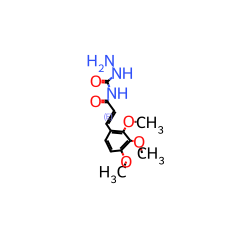 COc1ccc(/C=C/C(=O)NC(=O)NN)c(OC)c1OC